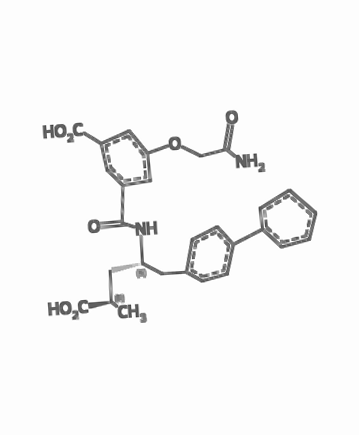 C[C@H](C[C@@H](Cc1ccc(-c2ccccc2)cc1)NC(=O)c1cc(OCC(N)=O)cc(C(=O)O)c1)C(=O)O